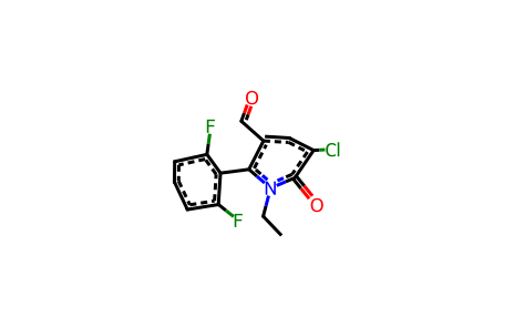 CCn1c(-c2c(F)cccc2F)c(C=O)cc(Cl)c1=O